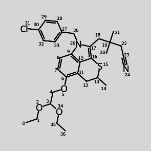 CCOC(COc1ccc2c3c1CC(C)Sc3c(CC(C)(C)CC#N)n2Cc1ccc(Cl)cc1)OCC